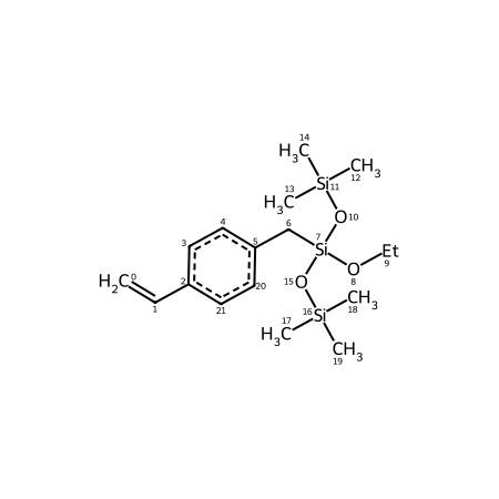 C=Cc1ccc(C[Si](OCC)(O[Si](C)(C)C)O[Si](C)(C)C)cc1